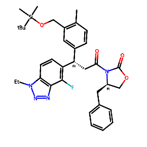 CCn1nnc2c(F)c([C@@H](CC(=O)N3C(=O)OC[C@H]3Cc3ccccc3)c3ccc(C)c(CO[Si](C)(C)C(C)(C)C)c3)ccc21